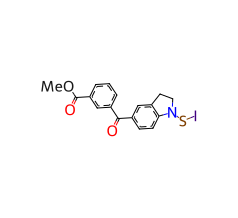 COC(=O)c1cccc(C(=O)c2ccc3c(c2)CCN3SI)c1